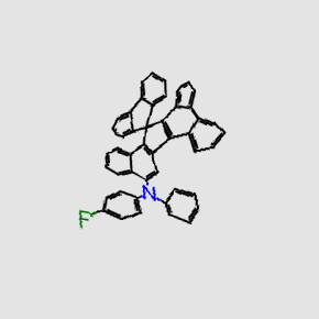 Fc1ccc(N(c2ccccc2)c2cc3c(c4ccccc24)C2(c4ccccc4-c4ccccc42)c2c-3c3ccccc3c3ccccc23)cc1